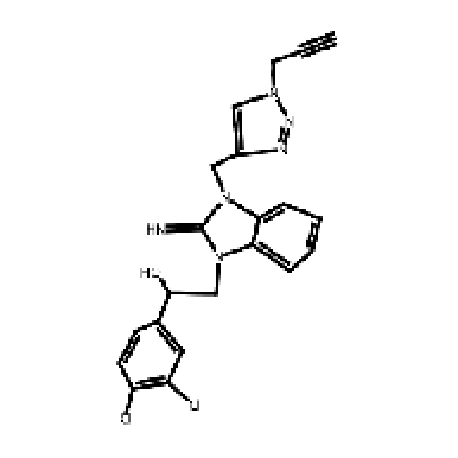 C#CCn1cc(Cn2c(=N)n(CC(O)c3ccc(Cl)c(Cl)c3)c3ccccc32)nn1